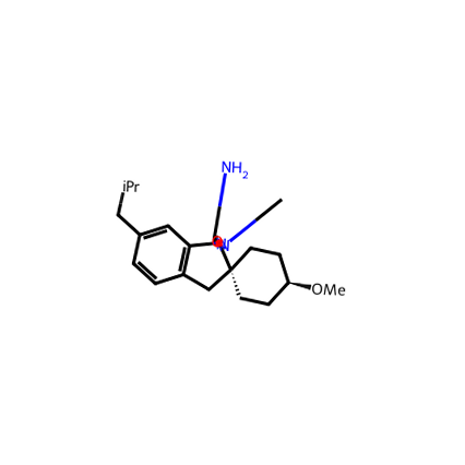 CO[C@H]1CC[C@]2(CC1)Cc1ccc(CC(C)C)cc1C21N=C(N)N(C)O1